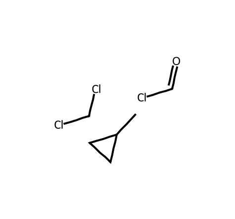 CC1CC1.ClCCl.O=CCl